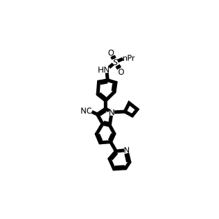 CCCS(=O)(=O)Nc1ccc(-c2c(C#N)c3ccc(-c4ccccn4)cc3n2C2CCC2)cc1